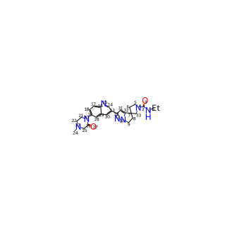 CCNC(=O)N1CCC2(CCn3nc(-c4cnc5ccc(N6CCN(C)CC6=O)cc5c4)cc32)C1